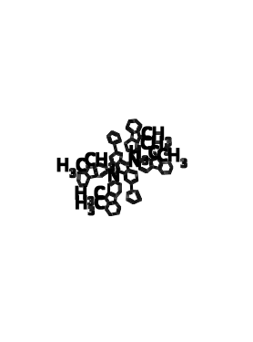 CC1(C)C2=C(C=CCC2)c2ccc(N(C3=CCC4C(=C3)C(C)(C)c3ccccc34)c3c4cc(-c5ccccc5)ccc4c(N(c4ccc5c(c4)C4C=CC=CC4C5(C)C)c4ccc5c(c4)C(C)(C)C4=C5C=CCC4)c4cc(-c5ccccc5)ccc34)cc21